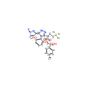 COc1cccc(OC)c1-n1c(-c2ccn(C)n2)nnc1N(CCS(C)(C)C)S(=O)(=O)C[C@@H](O)c1ccc(Cl)cc1